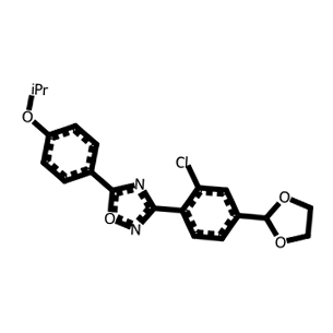 CC(C)Oc1ccc(-c2nc(-c3ccc(C4OCCO4)cc3Cl)no2)cc1